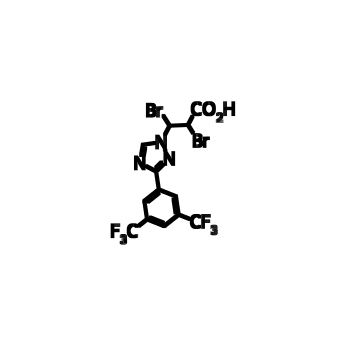 O=C(O)C(Br)C(Br)n1cnc(-c2cc(C(F)(F)F)cc(C(F)(F)F)c2)n1